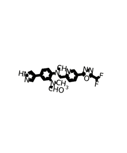 CN(C=O)c1cc(-c2cn[nH]c2)ccc1N(C)Cc1ccc(-c2nnc(C(F)F)o2)cn1